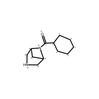 O=C(C1CCCCC1)N1C2CNCC1C2